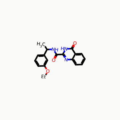 CCOc1cccc(C(C)NC(=O)c2nc3ccccc3c(=O)[nH]2)c1